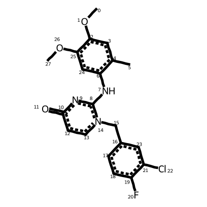 COc1cc(C)c(Nc2nc(=O)ccn2Cc2ccc(F)c(Cl)c2)cc1OC